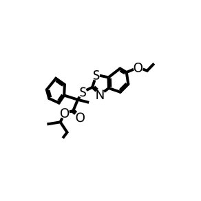 CCOc1ccc2nc(SC(C)(C(=O)OC(C)CC)c3ccccc3)sc2c1